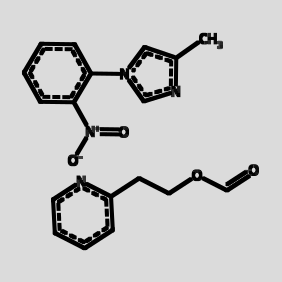 Cc1cn(-c2ccccc2[N+](=O)[O-])cn1.O=COCCc1ccccn1